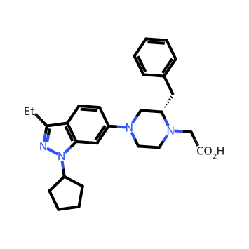 CCc1nn(C2CCCC2)c2cc(N3CCN(CC(=O)O)[C@@H](Cc4ccccc4)C3)ccc12